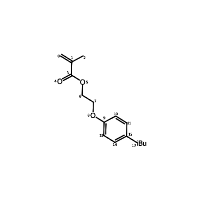 C=C(C)C(=O)OCCOc1ccc(C(C)CC)cc1